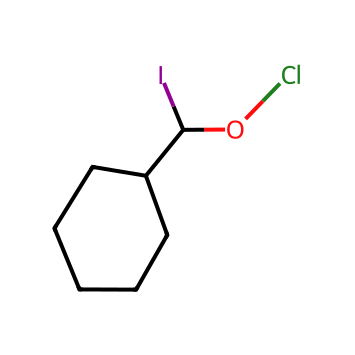 ClOC(I)C1CCCCC1